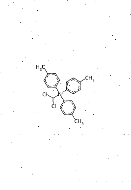 Cc1ccc([N+](c2ccc(C)cc2)(c2ccc(C)cc2)C(Cl)Cl)cc1